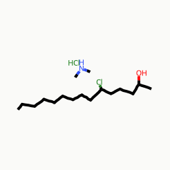 CCCCCCCCCC(Cl)CCCC(C)O.CNC.Cl